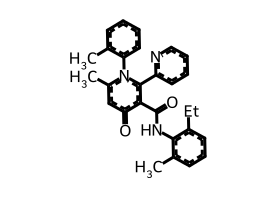 CCc1cccc(C)c1NC(=O)c1c(-c2ccccn2)n(-c2ccccc2C)c(C)cc1=O